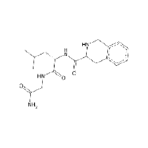 CC(C)C[C@H](NC(=O)C1Cc2ccccc2CN1)C(=O)NCC(N)=O